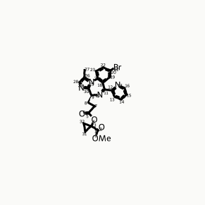 COC(=O)C1(OC(=O)CC[C@@H]2N=C(c3ccccn3)c3cc(Br)ccc3-n3c(C)cnc32)CC1